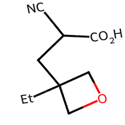 CCC1(CC(C#N)C(=O)O)COC1